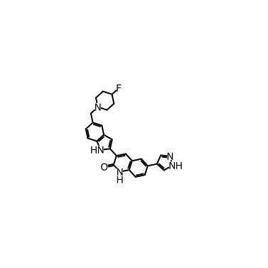 O=c1[nH]c2ccc(-c3cn[nH]c3)cc2cc1-c1cc2cc(CN3CCC(F)CC3)ccc2[nH]1